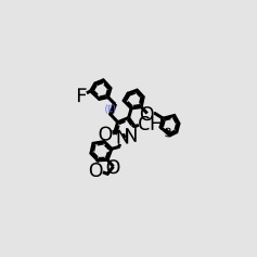 Cc1nn(Cc2cccc3c2OCO3)c(=O)c(/C=C/c2cccc(F)c2)c1-c1ccccc1OCc1ccccc1